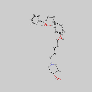 OC1CCN(CCCCCOc2ccc3c(c2)OC(c2ccccc2)=CC3)CC1